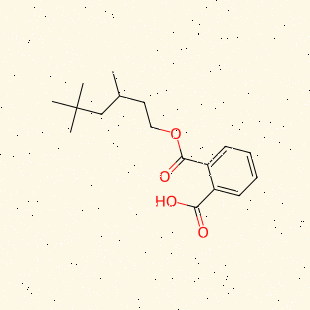 CC(CCOC(=O)c1ccccc1C(=O)O)CC(C)(C)C